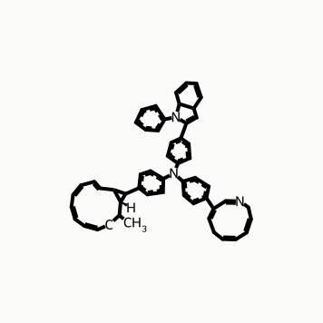 CC1C\C=C/C=C\C=C/C=C/C2C(c3ccc(N(c4ccc(C5=CC6C=CC=CC6N5c5ccccc5)cc4)c4ccc(C5=C/C/C=C\C=C/C/N=C\5)cc4)cc3)[C@H]12